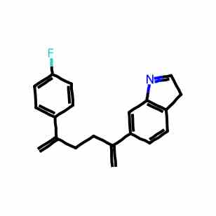 C=C(CCC(=C)c1ccc2c(c1)N=CC2)c1ccc(F)cc1